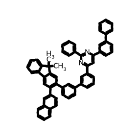 CC1(C)c2ccccc2-c2cc(-c3ccc4ccccc4c3)c(-c3cccc(-c4cccc(-c5cc(-c6cccc(-c7ccccc7)c6)nc(-c6ccccc6)n5)c4)c3)cc21